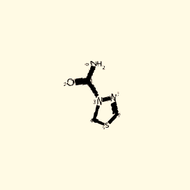 NC(=O)N1[CH]SC=N1